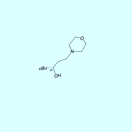 CCCC[C@@H](O)CCN1CCOCC1